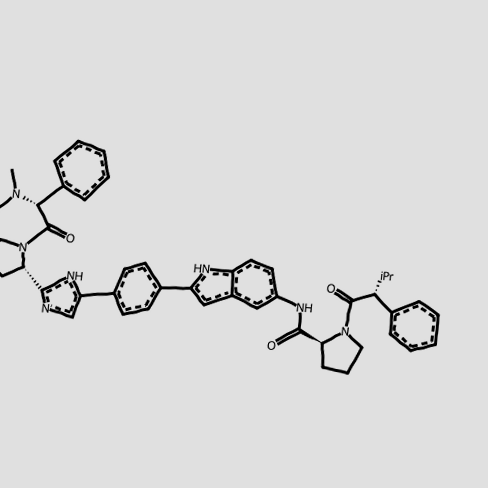 CC(C)[C@@H](C(=O)N1CCC[C@H]1C(=O)Nc1ccc2[nH]c(-c3ccc(-c4cnc([C@@H]5CCCN5C(=O)[C@@H](c5ccccc5)N(C)C)[nH]4)cc3)cc2c1)c1ccccc1